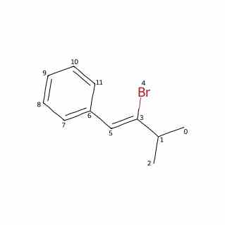 CC(C)/C(Br)=C/c1ccccc1